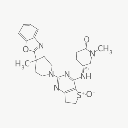 CN1C[C@@H](Nc2nc(N3CCC(C)(c4nc5ccccc5o4)CC3)nc3c2[S+]([O-])CC3)CCC1=O